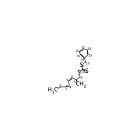 C=C(/C=C\C=C/CC)CSC(=S)SCc1ccccc1